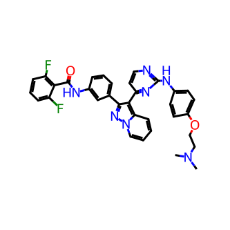 CN(C)CCOc1ccc(Nc2nccc(-c3c(-c4cccc(NC(=O)c5c(F)cccc5F)c4)nn4ccccc34)n2)cc1